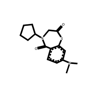 CN(C)c1ccc2c(c1)SC(=O)CN(C1CCCC1)C2=O